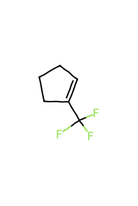 FC(F)(F)C1=CCCC1